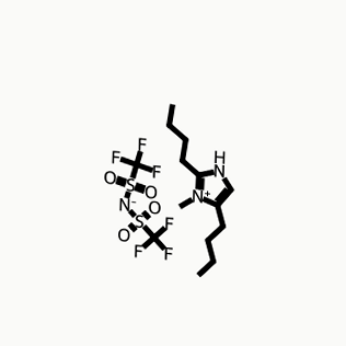 CCCCc1c[nH]c(CCCC)[n+]1C.O=S(=O)([N-]S(=O)(=O)C(F)(F)F)C(F)(F)F